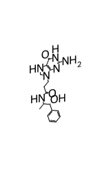 CC(NC(=O)CCN1CNc2c1nc(N)[nH]c2=O)C(O)c1ccccc1